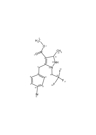 COC(=O)C1=C(Cc2ccc(Br)cc2)N(CC(F)(F)F)NC1C